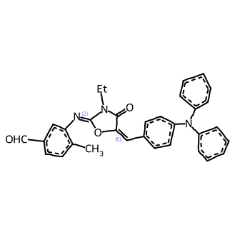 CCN1C(=O)/C(=C\c2ccc(N(c3ccccc3)c3ccccc3)cc2)O/C1=N\c1cc(C=O)ccc1C